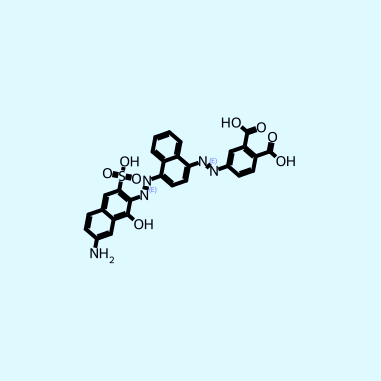 Nc1ccc2cc(S(=O)(=O)O)c(/N=N/c3ccc(/N=N/c4ccc(C(=O)O)c(C(=O)O)c4)c4ccccc34)c(O)c2c1